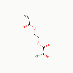 C=CC(=O)OCCOC(=O)C(=O)Cl